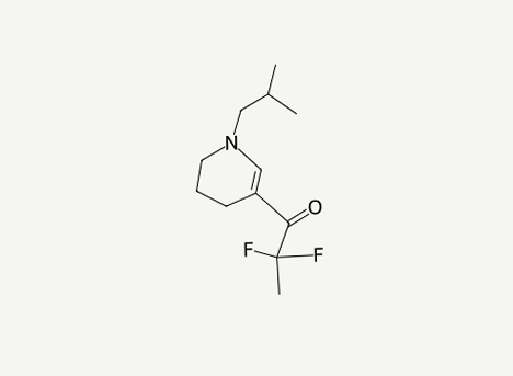 CC(C)CN1C=C(C(=O)C(C)(F)F)CCC1